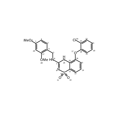 COc1ccc(CNC2=NS(=O)(=O)c3cccc(Oc4ccccc4Cl)c3N2)c(OC)c1